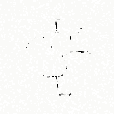 CCCCCC(=O)OC1O[C@H](CO)[C@@H](O)[C@H](O)[C@H]1O